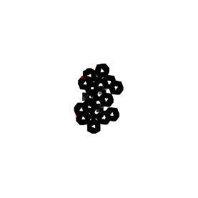 c1ccc(-c2nc(-c3ccccc3)nc(-c3c(N4c5ccccc5C(c5ccccc5)(c5ccccc5)c5ccc6ccccc6c54)cccc3N3c4ccccc4C(c4ccccc4)(c4ccccc4)c4ccc5ccccc5c43)n2)cc1